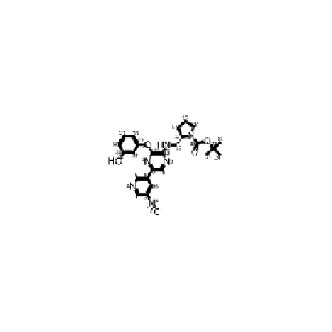 [C-]#[N+]c1cncc(-c2cnc(NC[C@@H]3CCCN3C(=O)OC(C)(C)C)c(Oc3cccc(O)c3)n2)c1